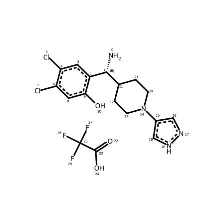 N[C@@H](c1cc(Cl)c(Cl)cc1O)C1CCN(c2cn[nH]c2)CC1.O=C(O)C(F)(F)F